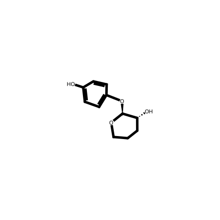 Oc1ccc(O[C@@H]2OCCC[C@H]2O)cc1